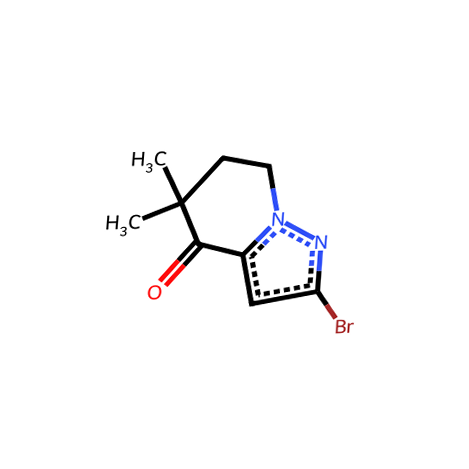 CC1(C)CCn2nc(Br)cc2C1=O